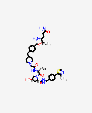 Cc1ncsc1-c1ccc(CNC(=O)[C@@H]2C[C@@H](O)CN2C(=O)[C@@H](NC(=O)CN2CCC(Cc3ccc(CO[C@H](C)[C@@H](N)CCC(N)=O)cc3)CC2)C(C)(C)C)cc1